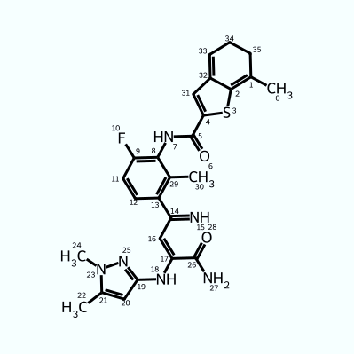 CC1=c2sc(C(=O)Nc3c(F)ccc(C(=N)/C=C(/Nc4cc(C)n(C)n4)C(N)=O)c3C)cc2=CCC1